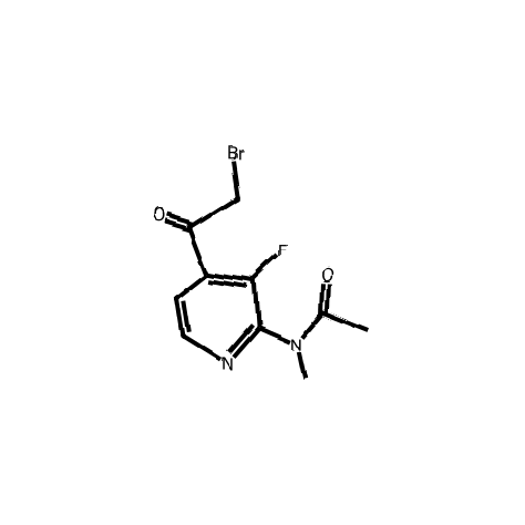 CC(=O)N(C)c1nccc(C(=O)CBr)c1F